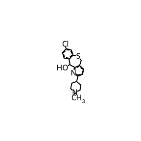 CN1CCC(c2ccc3c(n2)C(O)c2ccc(Cl)cc2SC3)CC1